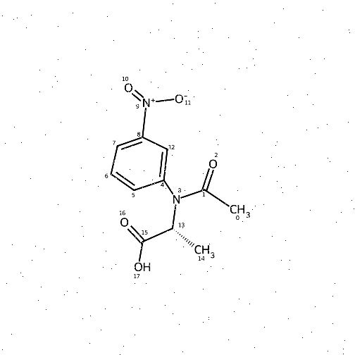 CC(=O)N(c1cccc([N+](=O)[O-])c1)[C@H](C)C(=O)O